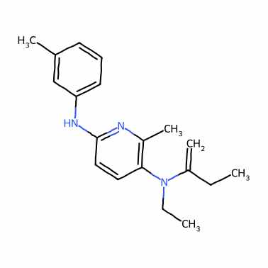 C=C(CC)N(CC)c1ccc(Nc2cccc(C)c2)nc1C